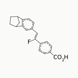 O=C(O)c1ccc(C(F)=Cc2ccc3c(c2)C2CCC3C2)cc1